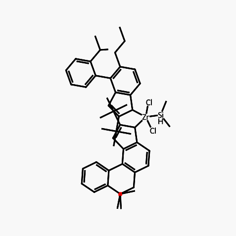 CCCc1ccc2c(c1-c1ccccc1C(C)C)C=C(C(C)(C)C)[CH]2[Zr]([Cl])([Cl])([CH]1C(C(C)(C)C)=Cc2c1ccc(CCC)c2-c1ccccc1C(C)C)[SiH](C)C